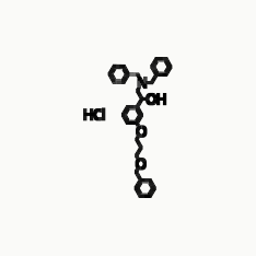 Cl.O[C@H](CN(Cc1ccccc1)Cc1ccccc1)c1cccc(OCCCOCc2ccccc2)c1